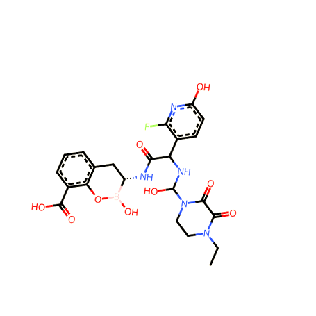 CCN1CCN(C(O)NC(C(=O)N[C@H]2Cc3cccc(C(=O)O)c3OB2O)c2ccc(O)nc2F)C(=O)C1=O